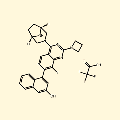 O=C(O)C(F)(F)F.Oc1cc(-c2ncc3c(N4C[C@H]5CC[C@@H](C4)N5)nc(N4CCC4)nc3c2F)c2ccccc2c1